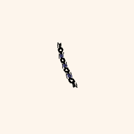 CN(C)c1ccc(/N=N/c2ccc(/N=N/c3ccc(/N=N/c4ccc(N(C)C)cc4)cc3)cc2)cc1